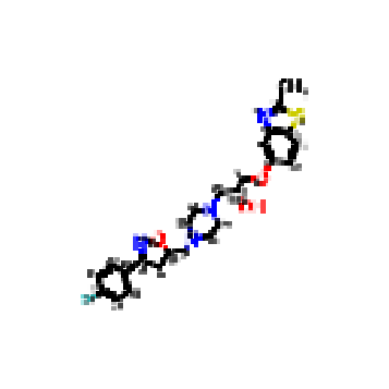 Cc1nc2cc(OC[C@H](O)CN3CCN(C[C@H]4CC(c5ccc(F)cc5)=NO4)CC3)ccc2s1